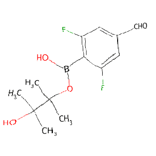 CC(C)(O)C(C)(C)OB(O)c1c(F)cc(C=O)cc1F